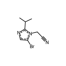 CC(C)c1ncc(Br)n1CC#N